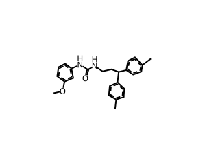 COc1cccc(NC(=O)NCCC(c2ccc(C)cc2)c2ccc(C)cc2)c1